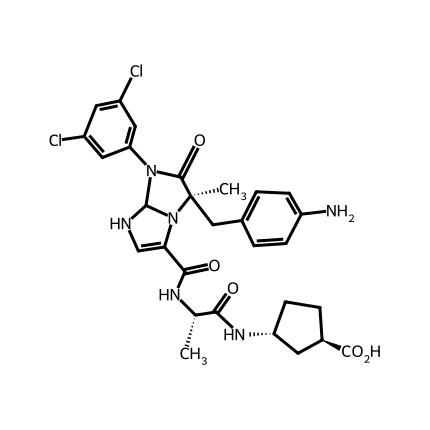 C[C@H](NC(=O)C1=CNC2N(c3cc(Cl)cc(Cl)c3)C(=O)[C@@](C)(Cc3ccc(N)cc3)N12)C(=O)N[C@@H]1CC[C@@H](C(=O)O)C1